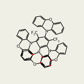 FC(F)(F)c1c(N2c3ccccc3Oc3ccccc32)c(N2c3ccccc3Oc3ccccc32)c(N2c3ccccc3Oc3ccccc32)c(C(F)(F)F)c1N1c2ccccc2Oc2ccccc21